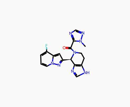 Cn1ncnc1C(=O)N1CCc2[nH]cnc2[C@H]1c1cc2c(F)cccn2n1